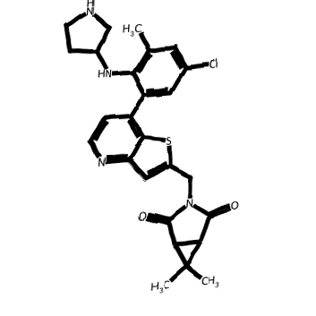 Cc1cc(Cl)cc(-c2ccnc3cc(CN4C(=O)C5C(C4=O)C5(C)C)sc23)c1NC1CCNC1